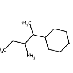 [CH2]C(C(N)CC)C1CCCCC1